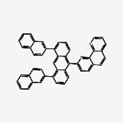 c1ccc2cc(-c3cccc4c(-c5ccc6ccc7cccnc7c6n5)c5cccc(-c6ccc7ccccc7c6)c5cc34)ccc2c1